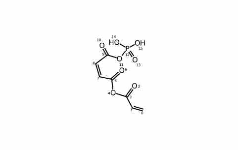 C=CC(=O)OC(=O)/C=C\C(=O)OP(=O)(O)O